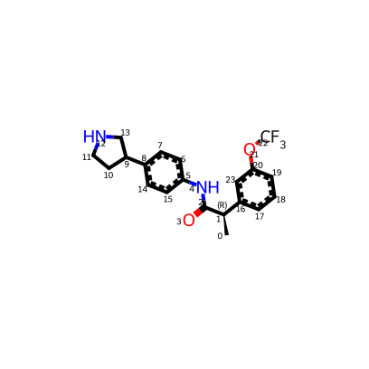 C[C@@H](C(=O)Nc1ccc(C2CCNC2)cc1)c1cccc(OC(F)(F)F)c1